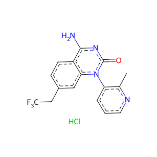 Cc1ncccc1-n1c(=O)nc(N)c2ccc(CC(F)(F)F)cc21.Cl